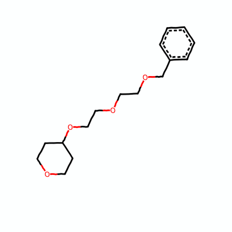 c1ccc(COCCOCCOC2CCOCC2)cc1